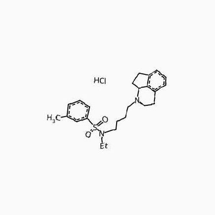 CCN(CCCCN1CCc2cccc3c2C1CC3)S(=O)(=O)c1cccc(C)c1.Cl